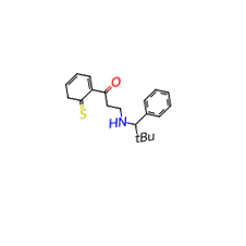 CC(C)(C)C(NCCC(=O)C1=CC=CCC1=S)c1ccccc1